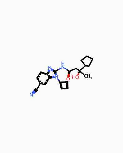 CC(O)(CC(=O)Nc1nc2ccc(C#N)cc2n1C1=CC=C1)C1CCCC1